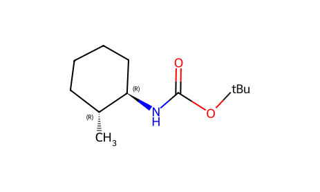 C[C@@H]1CCCC[C@H]1NC(=O)OC(C)(C)C